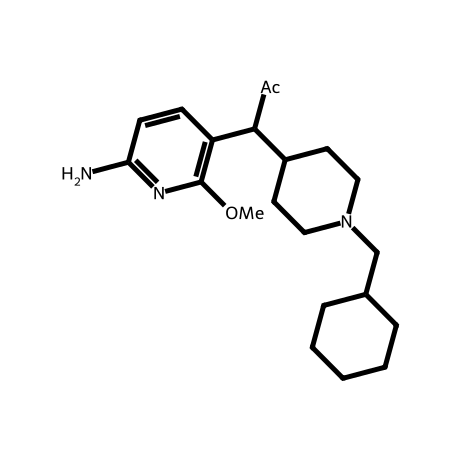 COc1nc(N)ccc1C(C(C)=O)C1CCN(CC2CCCCC2)CC1